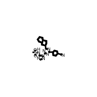 CS(=O)(=O)Nc1ncnn1-c1nc(-c2ccc(C#N)cc2)nc(-c2ccc3ccccc3c2)n1